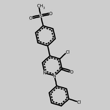 CS(=O)(=O)c1ccc(-c2cnn(-c3cccc(Cl)c3)c(=O)c2Cl)cc1